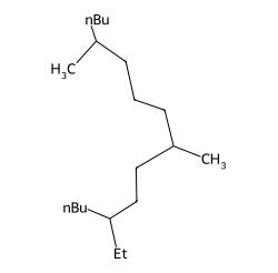 CCCCC(C)CCCC(C)CCC(CC)CCCC